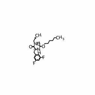 C#CCNC(=O)[C@H](Cc1cc(F)cc(F)c1)NC(=O)OCCCCCC